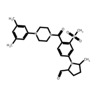 Cc1cc(C)cc(N2CCN(C(=O)c3ccc(N4C(C)CCC4C=O)cc3S(C)(=O)=O)CC2)c1